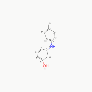 Cc1ccc(N[C]2C=CC=C(O)C2)cc1